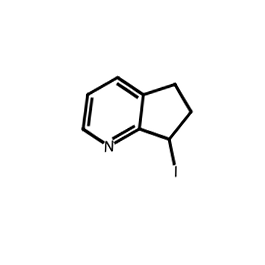 IC1CCc2cccnc21